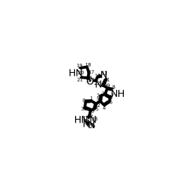 c1cc(-c2ccc3[nH]cc(-c4cncc(O[C@@H]5CCCNC5)n4)c3c2)cc(-c2nnn[nH]2)c1